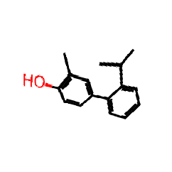 Cc1cc(-c2ccccc2C(C)C)ccc1O